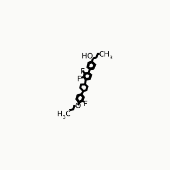 CCCCOc1ccc(C2CCC(c3ccc(-c4ccc(C(O)CCC)cc4)c(F)c3F)CC2)cc1F